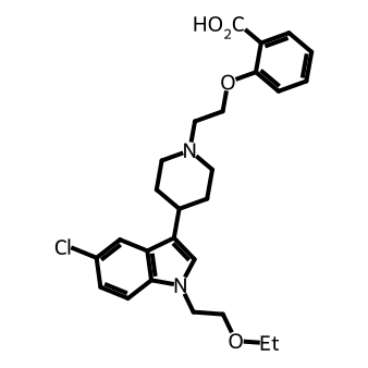 CCOCCn1cc(C2CCN(CCOc3ccccc3C(=O)O)CC2)c2cc(Cl)ccc21